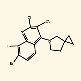 N#Cc1c(Cl)nc2c(F)c(Br)ccc2c1N1CCC2(CC2)C1